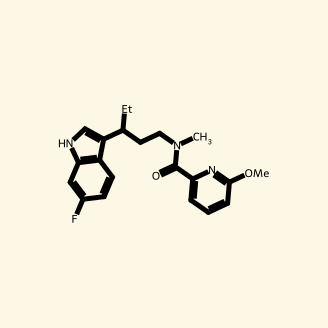 CCC(CCN(C)C(=O)c1cccc(OC)n1)c1c[nH]c2cc(F)ccc12